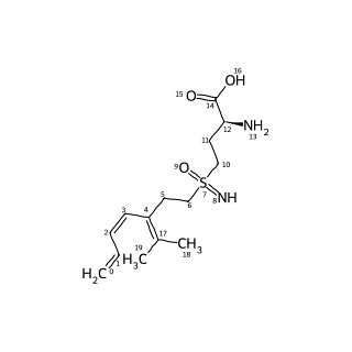 C=C/C=C\C(CCS(=N)(=O)CC[C@H](N)C(=O)O)=C(C)C